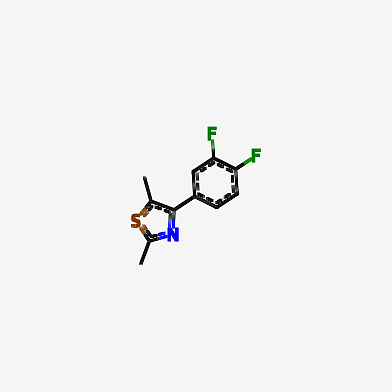 Cc1nc(-c2ccc(F)c(F)c2)c(C)s1